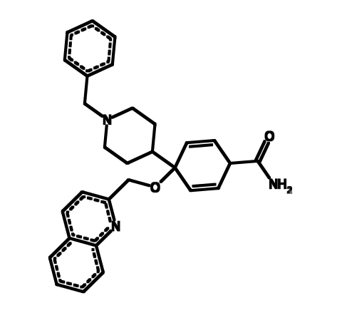 NC(=O)C1C=CC(OCc2ccc3ccccc3n2)(C2CCN(Cc3ccccc3)CC2)C=C1